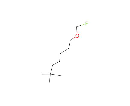 CC(C)(C)CCCCCOCF